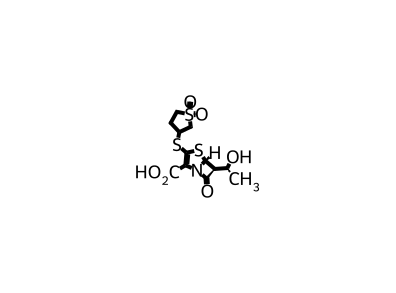 C[C@@H](O)[C@H]1C(=O)N2C(C(=O)O)=C(SC3CCS(=O)(=O)C3)S[C@H]12